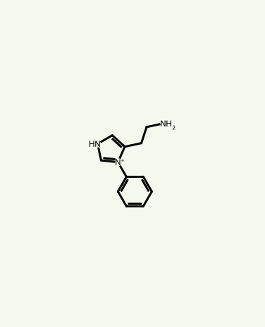 NCCc1c[nH]c[n+]1-c1ccccc1